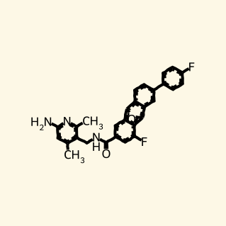 Cc1cc(N)nc(C)c1CNC(=O)c1cc(F)c2c(c1)c1oc2c2cc(-c3ccc(F)cc3)ccc21